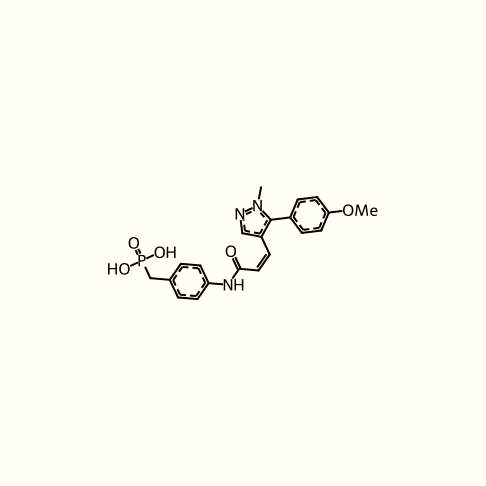 COc1ccc(-c2c(/C=C\C(=O)Nc3ccc(CP(=O)(O)O)cc3)cnn2C)cc1